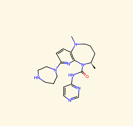 C[C@@H]1CCCN(C)c2ccc(N3CCCNCC3)nc2N1C(=O)Nc1ccncn1